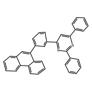 c1ccc(-c2cc(-c3cccc(-c4cc5ccccc5c5ccccc45)c3)nc(-c3ccccc3)n2)cc1